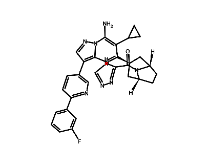 Nc1c(C2CC2)c([C@@H]2C[C@H]3CC[C@@H](C2)N3C(=O)c2nnc[nH]2)nc2c(-c3ccc(-c4cccc(F)c4)nc3)cnn12